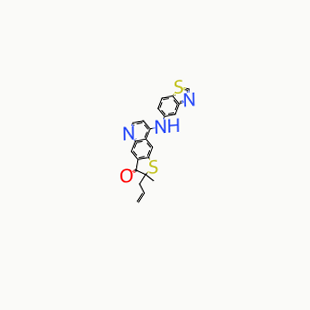 C=CCC1(C)Sc2cc3c(Nc4ccc5scnc5c4)ccnc3cc2C1=O